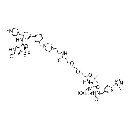 Cc1ncsc1-c1ccc(CNC(=O)[C@@H]2C[C@@H](O)CN2C(=O)[C@@H](NC(=O)CCOCCOCCC(=O)NCCN2CCN(Cc3cccc(-c4ccc(N5CCN(C)CC5)c(NC(=O)c5c[nH]c(=O)cc5C(F)(F)F)c4)c3)CC2)C(C)(C)C)cc1